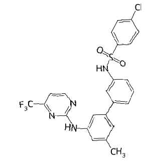 Cc1cc(Nc2nccc(C(F)(F)F)n2)cc(-c2cccc(NS(=O)(=O)c3ccc(Cl)cc3)c2)c1